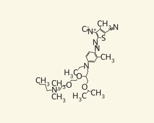 [C-]#[N+]c1c(/N=N/c2ccc(N(CC)CC(COC(C)C)OCCOCC[N+](C)(C)CCCC)cc2C)sc(C#N)c1C